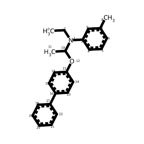 CCN(c1cccc(C)c1)C(C)Oc1ccc(-c2ccccc2)cc1